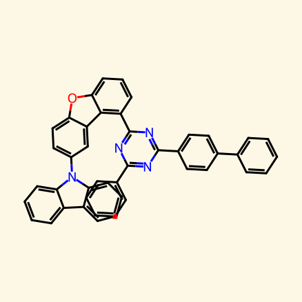 c1ccc(-c2ccc(-c3nc(-c4ccccc4)nc(-c4cccc5oc6ccc(-n7c8ccccc8c8ccccc87)cc6c45)n3)cc2)cc1